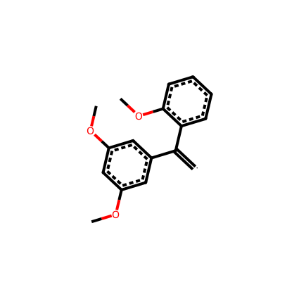 [CH]=C(c1cc(OC)cc(OC)c1)c1ccccc1OC